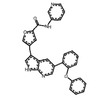 O=C(Nc1cccnc1)c1cc(-c2c[nH]c3ncc(-c4ccccc4Oc4ccccc4)cc23)co1